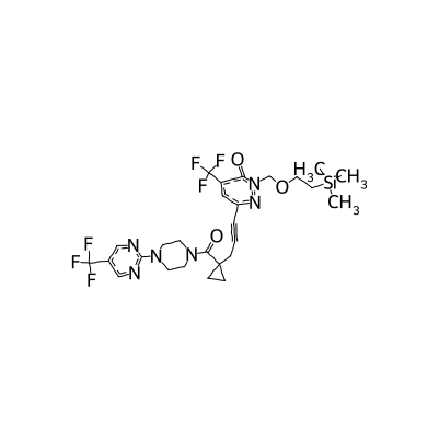 C[Si](C)(C)CCOCn1nc(C#CCC2(C(=O)N3CCN(c4ncc(C(F)(F)F)cn4)CC3)CC2)cc(C(F)(F)F)c1=O